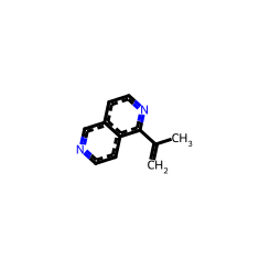 C=C(C)c1nccc2cnccc12